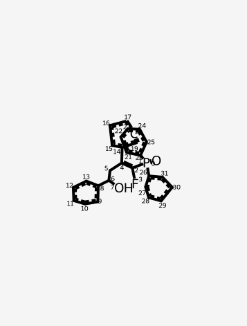 O=P(C(F)=C(CC(O)c1ccccc1)c1ccccc1)(c1ccccc1)c1ccccc1